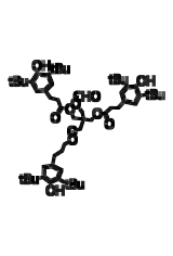 CC(C)(C)c1cc(CCCOOCC(COC=O)(COC(=O)CCc2cc(C(C)(C)C)c(O)c(C(C)(C)C)c2)COC(=O)CCc2cc(C(C)(C)C)c(O)c(C(C)(C)C)c2)cc(C(C)(C)C)c1O